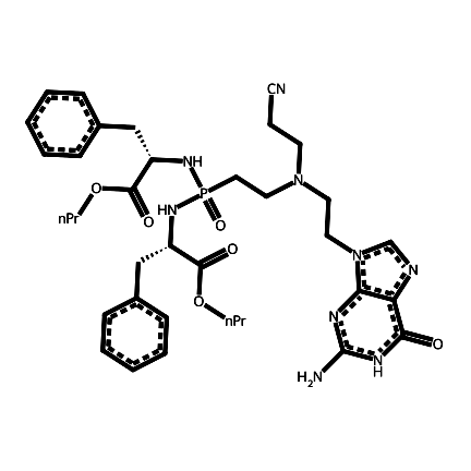 CCCOC(=O)[C@H](Cc1ccccc1)NP(=O)(CCN(CCC#N)CCn1cnc2c(=O)[nH]c(N)nc21)N[C@@H](Cc1ccccc1)C(=O)OCCC